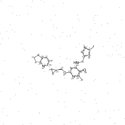 Cc1ncc(CNc2cc(OC[C@H]3C[C@@H]3c3ccc4c(n3)CCC4)nn(C)c2=O)s1